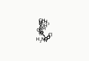 CCN(CC)CC(O)CNC(=O)c1ccc(C#Cc2c(N)ncc3ccc(Cl)cc23)nn1